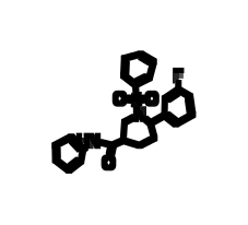 O=C(Nc1ccccc1)C1CCC(c2cccc(F)c2)N(S(=O)(=O)c2ccccc2)C1